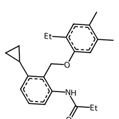 CCC(=O)Nc1cccc(C2CC2)c1COc1cc(C)c(C)cc1CC